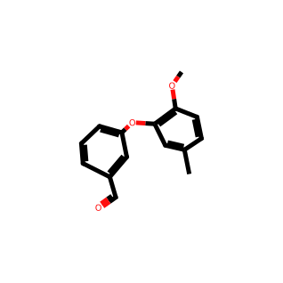 COc1ccc(C)cc1Oc1cccc(C=O)c1